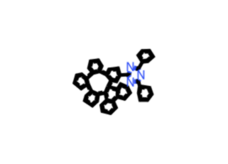 c1ccc(-c2nc(-c3ccccc3)nc(-c3ccc4c5ccccc5c5ccccc5c5ccccc5c5c6ccccc6c6ccccc6c5c4c3)n2)cc1